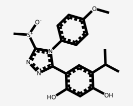 COc1ccc(-n2c(-c3cc(C(C)C)c(O)cc3O)nnc2[S+](C)[O-])cc1